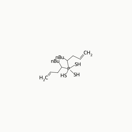 C=CCC(CCCC)P(S)(S)(S)C(CC=C)CCCC